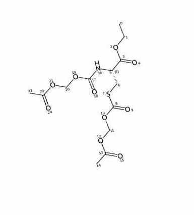 CCOC(=O)[C@H](CSC(=O)OCOC(C)=O)NC(=O)OCOC(C)=O